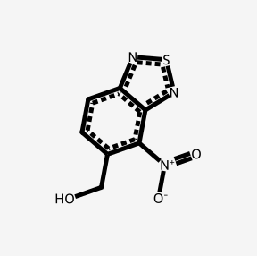 O=[N+]([O-])c1c(CO)ccc2nsnc12